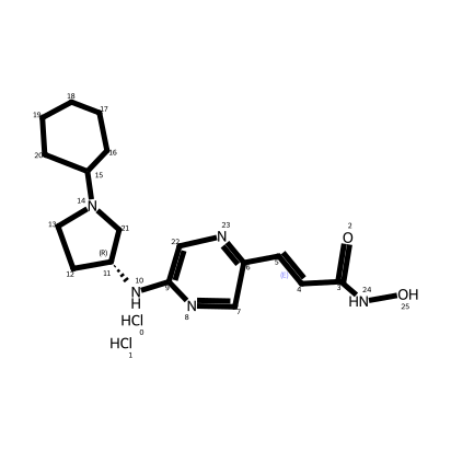 Cl.Cl.O=C(/C=C/c1cnc(N[C@@H]2CCN(C3CCCCC3)C2)cn1)NO